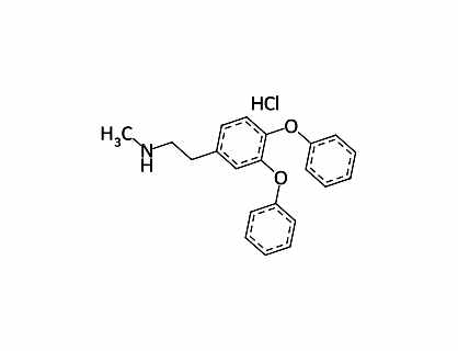 CNCCc1ccc(Oc2ccccc2)c(Oc2ccccc2)c1.Cl